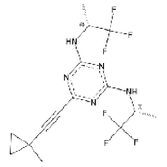 C[C@@H](Nc1nc(C#CC2(C)CC2)nc(N[C@H](C)C(F)(F)F)n1)C(F)(F)F